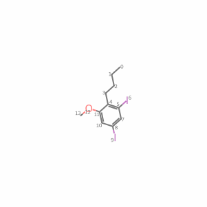 CCCCc1c(I)cc(I)cc1OC